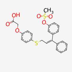 CS(=O)(=O)Oc1cccc(/C(=C\CSc2ccc(OCC(=O)O)cc2)c2ccccc2)c1